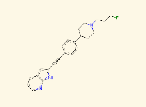 FCCCN1CCC(c2ccc(C#Cc3cc4cccnc4[nH]3)cc2)CC1